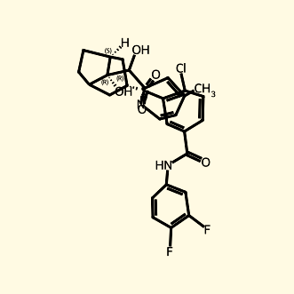 Cc1ccnc(C(O)[C@@]2(O)C3CC[C@H]2C[C@H](S(=O)(=O)c2cc(C(=O)Nc4ccc(F)c(F)c4)ccc2Cl)C3)c1